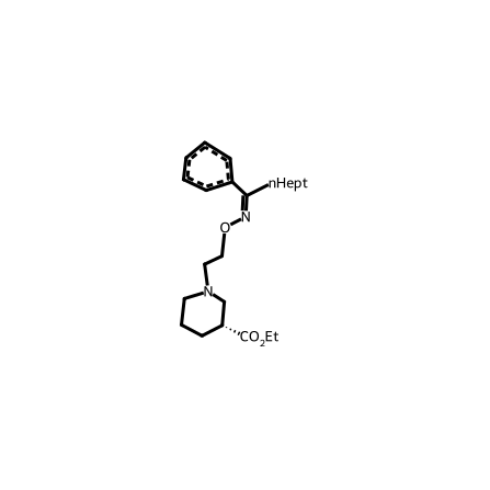 CCCCCCC/C(=N/OCCN1CCC[C@@H](C(=O)OCC)C1)c1ccccc1